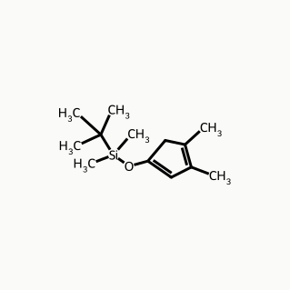 CC1=C(C)CC(O[Si](C)(C)C(C)(C)C)=C1